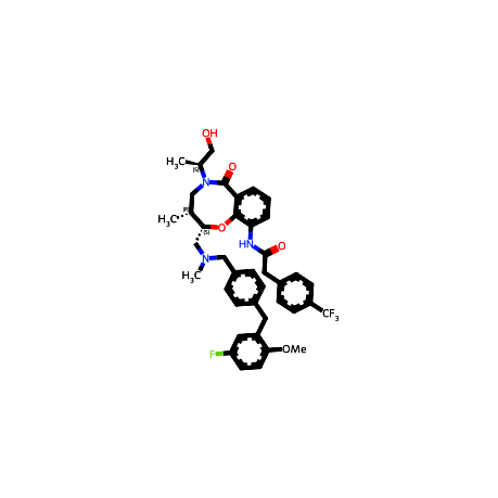 COc1ccc(F)cc1Cc1ccc(CN(C)C[C@H]2Oc3c(NC(=O)Cc4ccc(C(F)(F)F)cc4)cccc3C(=O)N([C@@H](C)CO)C[C@H]2C)cc1